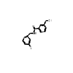 O=C(NCc1cccc(Cl)c1)c1cccc(CO)c1